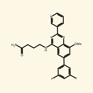 COc1cc(-c2cc(F)cc(F)c2)cc2c(NCCCC(N)=O)nc(-c3cccnc3)nc12